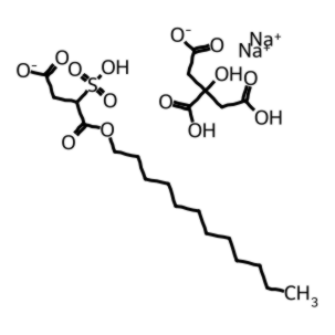 CCCCCCCCCCCCOC(=O)C(CC(=O)[O-])S(=O)(=O)O.O=C([O-])CC(O)(CC(=O)O)C(=O)O.[Na+].[Na+]